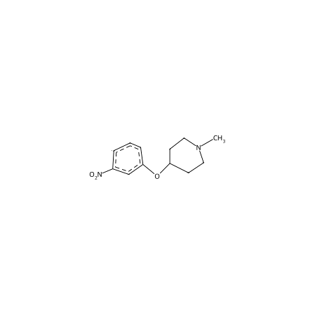 CN1CCC(Oc2cc[c]c([N+](=O)[O-])c2)CC1